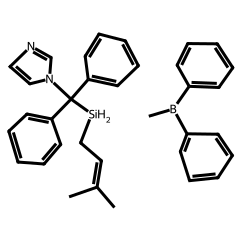 CB(c1ccccc1)c1ccccc1.CC(C)=CC[SiH2]C(c1ccccc1)(c1ccccc1)n1ccnc1